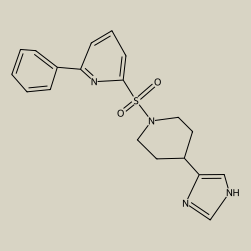 O=S(=O)(c1cccc(-c2ccccc2)n1)N1CCC(c2c[nH]cn2)CC1